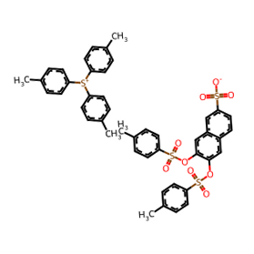 Cc1ccc(S(=O)(=O)Oc2cc3ccc(S(=O)(=O)[O-])cc3cc2OS(=O)(=O)c2ccc(C)cc2)cc1.Cc1ccc([S+](c2ccc(C)cc2)c2ccc(C)cc2)cc1